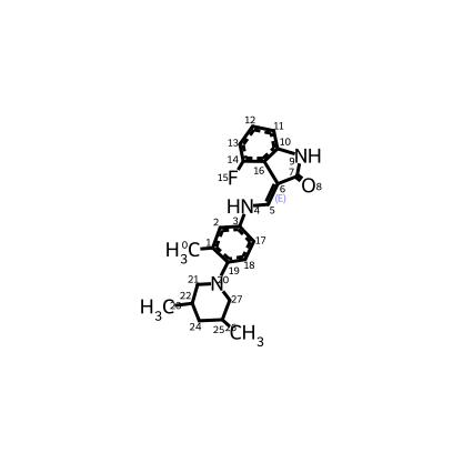 Cc1cc(N/C=C2/C(=O)Nc3cccc(F)c32)ccc1N1CC(C)CC(C)C1